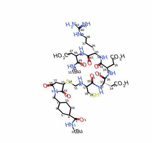 CC(C)(C)NC(=O)C1CCC(CN2C(=O)CC(SCNC(CS)C(=O)N[C@@H](CC(=O)O)C(=O)NC(CC(=O)O)C(=O)N[C@@H](CCCNC(=N)N)C(=O)NC(CC(=O)O)C(=O)NC(C)(C)C)C2=O)CC1